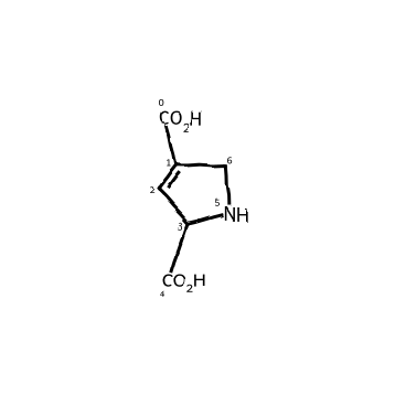 O=C(O)C1=CC(C(=O)O)NC1